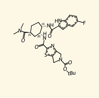 CN(C)C(=O)[C@H]1CC[C@H](NC(=O)c2cc3cc(F)ccc3[nH]2)[C@H](NC(=O)c2nc3c(s2)CN(C(=O)OC(C)(C)C)C3)C1